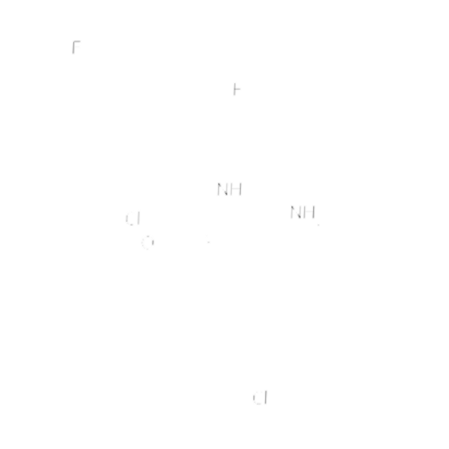 Cc1cc(Cl)cc(C(=O)Nc2c(F)cc(F)cc2Cl)c1N